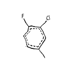 Cc1[c]cc(F)c(Cl)c1